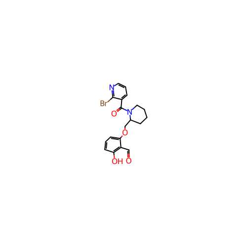 O=Cc1c(O)cccc1OCC1CCCCN1C(=O)c1cccnc1Br